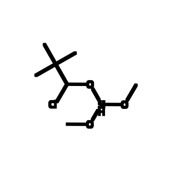 CO[SiH](OC)OC(Cl)C(C)(C)C